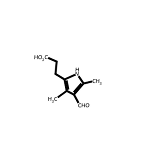 Cc1[nH]c(CCC(=O)O)c(C)c1C=O